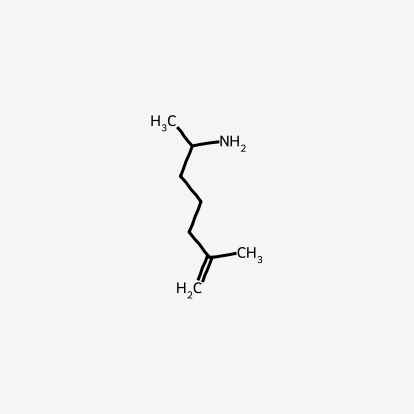 C=C(C)CCCC(C)N